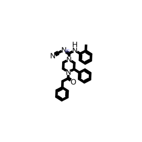 Cc1ccccc1N/C(=N/C#N)N1CCN(C(=O)Cc2ccccc2)C(c2ccccc2)C1